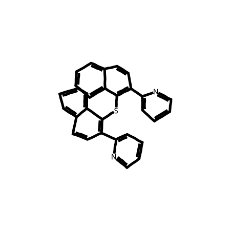 c1ccc(-c2ccc3ccccc3c2Sc2c(-c3ccccn3)ccc3ccccc23)nc1